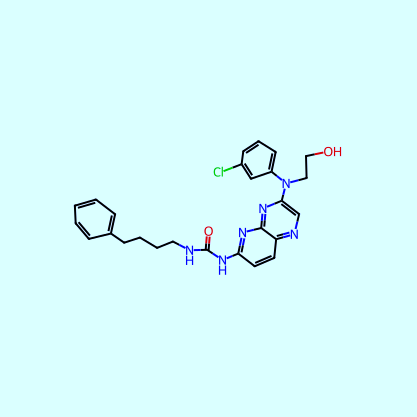 O=C(NCCCCc1ccccc1)Nc1ccc2ncc(N(CCO)c3cccc(Cl)c3)nc2n1